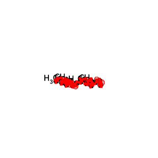 CC1(C)c2cc(-c3ccc4c(c3)oc3ccc5oc6c(-c7c8ccccc8c(-c8cccc9c8oc8ccc%10c(c89)-c8ccccc8C%10(C)C)c8ccccc78)cccc6c5c34)ccc2-c2c1ccc1oc3c(-c4c5ccccc5c(-c5ccc6c(c5)oc5ccc7oc8ccccc8c7c56)c5ccccc45)cccc3c21